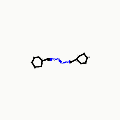 C(#[N+]N=N[N+]#CC1CCCCC1)C1CCCCC1